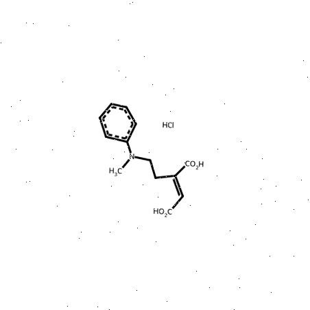 CN(CC/C(=C\C(=O)O)C(=O)O)c1ccccc1.Cl